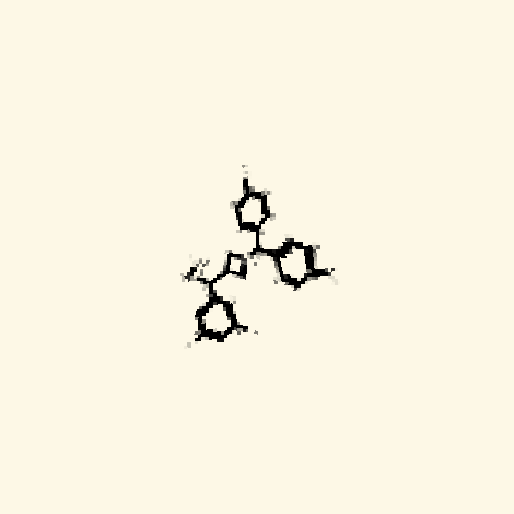 CCCCNC(c1cc(F)cc(F)c1)C1CN(C(c2ccc(Cl)cc2)c2ccc(Cl)cc2)C1